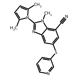 Cc1ccc(C)n1-c1nc2cc(Sc3cccnc3)cc(C#N)c2n1C